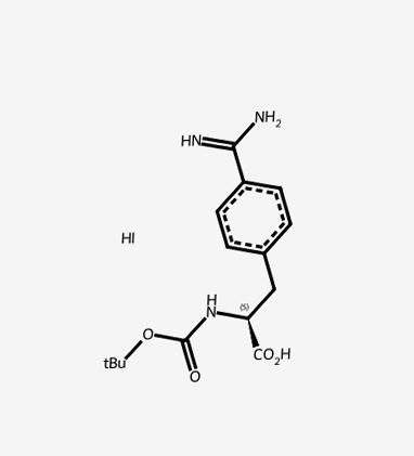 CC(C)(C)OC(=O)N[C@@H](Cc1ccc(C(=N)N)cc1)C(=O)O.I